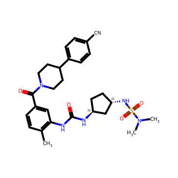 Cc1ccc(C(=O)N2CCC(c3ccc(C#N)cc3)CC2)cc1NC(=O)N[C@H]1CC[C@H](NS(=O)(=O)N(C)C)C1